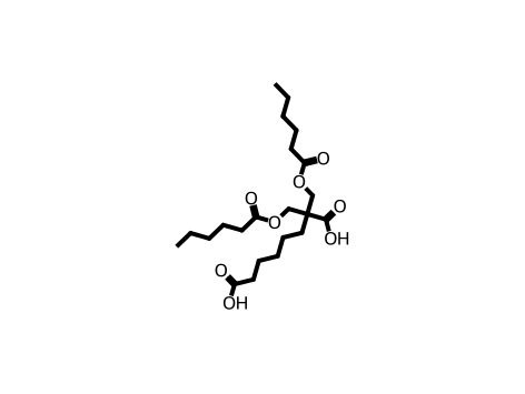 CCCCCC(=O)OCC(CCCCCC(=O)O)(COC(=O)CCCCC)C(=O)O